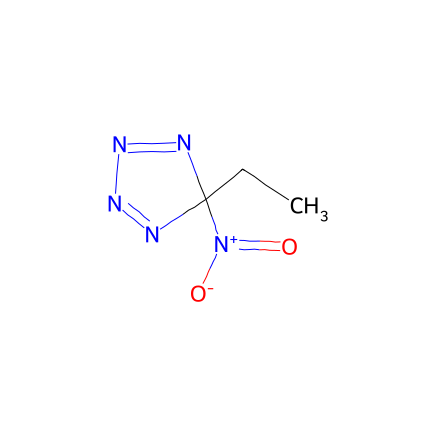 CCC1([N+](=O)[O-])N=NN=N1